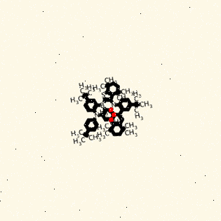 Cc1cc2c3c(c1)N(c1ccc(C(C)(C)C)cc1-c1cc4c(cc1C)C(C)(C)CCC4(C)C)c1c(sc4c1C(C)(C)CCC4(C)C)B3c1cc(C(C)(C)C)ccc1N2c1ccc(C(C)(C)C)cc1